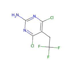 Nc1nc(Cl)c(CC(F)(F)F)c(Cl)n1